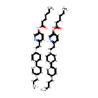 CCCCCC(=O)Oc1ccc(CC[C@H]2CC[C@H]([C@H]3CC[C@H](CCC)CC3)CC2)nc1.CCCCCC(=O)Oc1ccc(CC[C@H]2CC[C@H]([C@H]3CC[C@H](CCCC)CC3)CC2)nc1